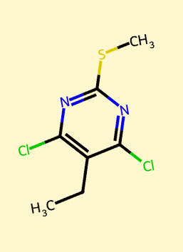 CCc1c(Cl)nc(SC)nc1Cl